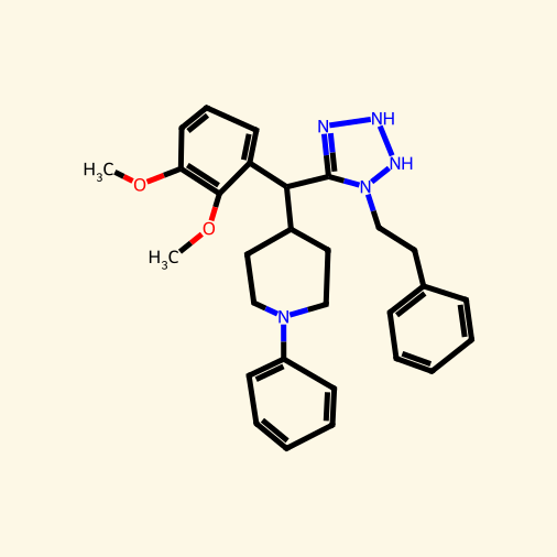 COc1cccc(C(C2=NNNN2CCc2ccccc2)C2CCN(c3ccccc3)CC2)c1OC